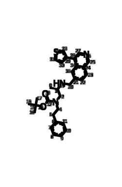 C[C@H](CN(CCc1ccccc1)C(=O)OC(C)(C)C)NCc1ccc2cncc(-c3ccsc3)c2c1